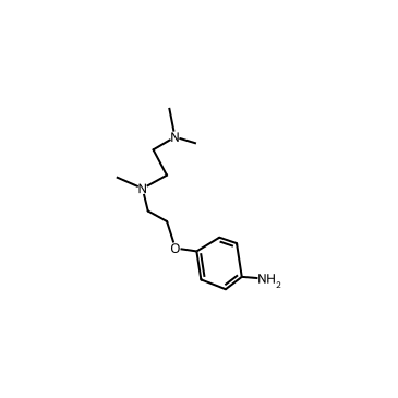 CN(C)CCN(C)CCOc1ccc(N)cc1